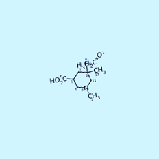 C=O.CN1CC(C(=O)O)CC(C)(C)C1